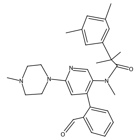 Cc1cc(C)cc(C(C)(C)C(=O)N(C)c2cnc(N3CCN(C)CC3)cc2-c2ccccc2C=O)c1